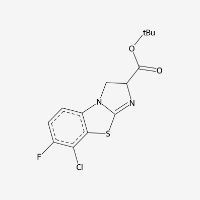 CC(C)(C)OC(=O)C1CN2C(=N1)Sc1c2ccc(F)c1Cl